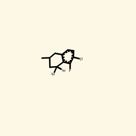 [2H]C1([2H])CC(C)Cc2ccc(Cl)c(F)c21